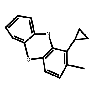 Cc1ccc2c(c1C1CC1)[N]c1ccccc1O2